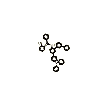 Nc1ccccc1N1C(c2ccccc2)[C@H]1Nc1ccc(-c2ccc3c(c2)C2(C=CC=CC2)N3c2ccccc2)cc1-c1cccc(-c2ccccc2)c1